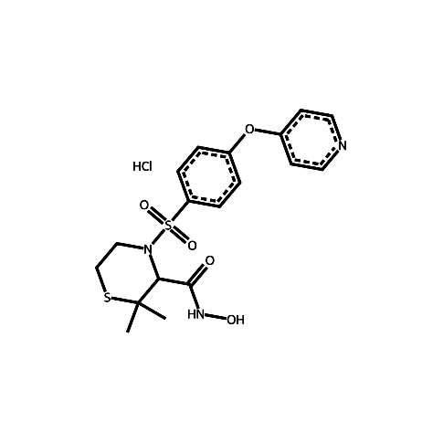 CC1(C)SCCN(S(=O)(=O)c2ccc(Oc3ccncc3)cc2)C1C(=O)NO.Cl